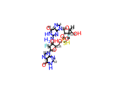 Nc1nc2c(ncn2[C@@H]2O[C@@H]3C(O)[C@@]3(F)C2OP(=O)(S)OC[C@H]2O[C@@H](n3cnc4c(=O)[nH]cnc43)[C@@H](F)[C@@H]2O)c(=O)[nH]1